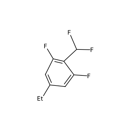 [CH2]Cc1cc(F)c(C(F)F)c(F)c1